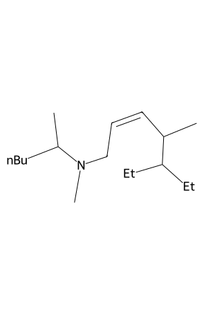 CCCCC(C)N(C)C/C=C\C(C)C(CC)CC